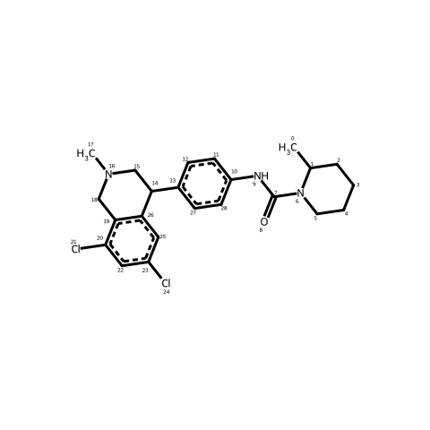 CC1CCCCN1C(=O)Nc1ccc(C2CN(C)Cc3c(Cl)cc(Cl)cc32)cc1